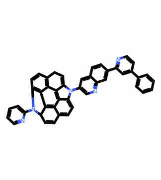 C1=CC2c3c4c(ccc5c4c4c(n(-c6cnc7cc(-c8cc(-c9ccccc9)ccn8)ccc7c6)c6ccc1c3c46)=CC5)N2c1ccccn1